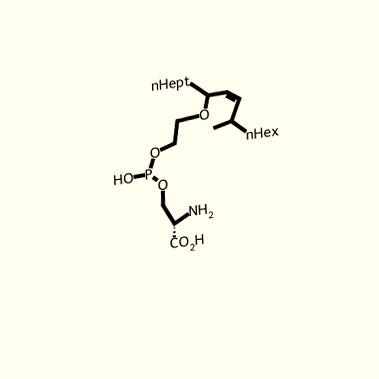 CCCCCCCC(/C=C\C(C)CCCCCC)OCCOP(O)OC[C@H](N)C(=O)O